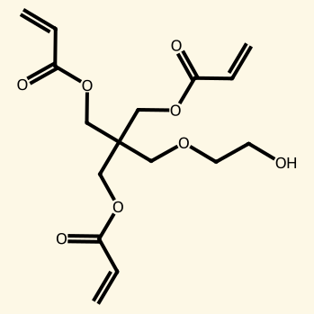 C=CC(=O)OCC(COCCO)(COC(=O)C=C)COC(=O)C=C